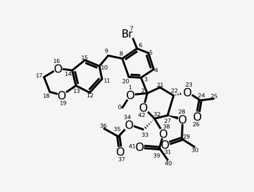 COC1(c2ccc(Br)c(Cc3ccc4c(c3)OCCO4)c2)C[C@H](OC(C)=O)[C@@H](OC(C)=O)[C@@](COC(C)=O)(OC(C)=O)O1